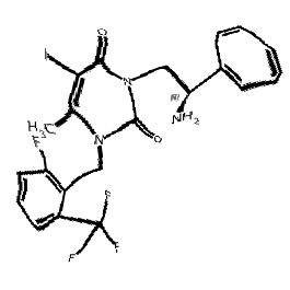 Cc1c(I)c(=O)n(C[C@H](N)c2ccccc2)c(=O)n1Cc1c(F)cccc1C(F)(F)F